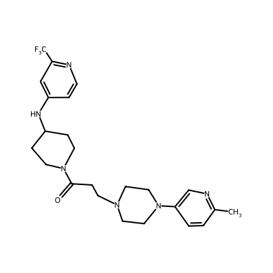 Cc1ccc(N2CCN(CCC(=O)N3CCC(Nc4ccnc(C(F)(F)F)c4)CC3)CC2)cn1